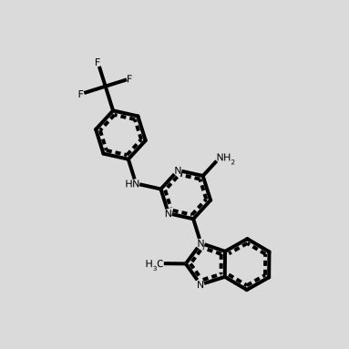 Cc1nc2ccccc2n1-c1cc(N)nc(Nc2ccc(C(F)(F)F)cc2)n1